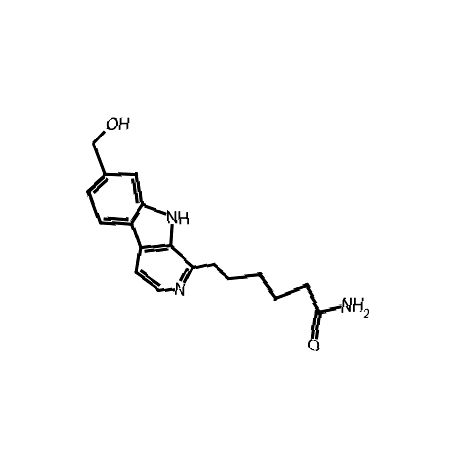 NC(=O)CCCCCc1nccc2c1[nH]c1cc(CO)ccc12